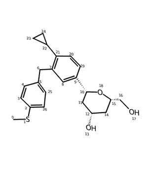 CSc1ccc(Cc2cc([C@H]3C[C@@H](O)C[C@@H](CO)O3)ccc2C2CC2)cc1